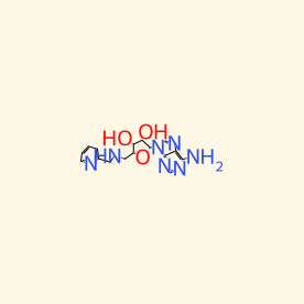 Nc1ncnc2c1ncn2C1OC(CNCc2ccccn2)C(O)C1O